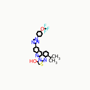 CC(C)c1ccccc1/N=C1/SCC(O)N1c1ccc2cc(-c3ncn(-c4ccc(OC(F)(F)F)cc4)n3)ccc2n1